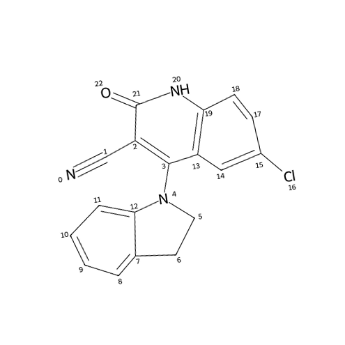 N#Cc1c(N2CCc3ccccc32)c2cc(Cl)ccc2[nH]c1=O